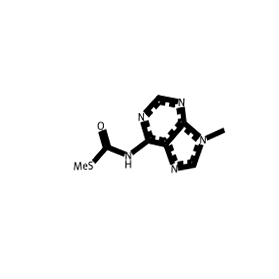 CSC(=O)Nc1ncnc2c1ncn2C